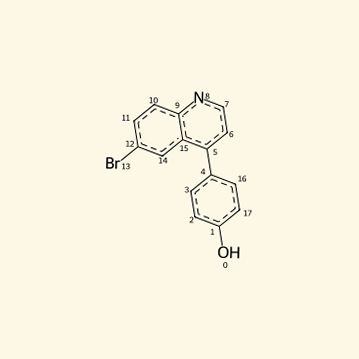 Oc1ccc(-c2ccnc3ccc(Br)cc23)cc1